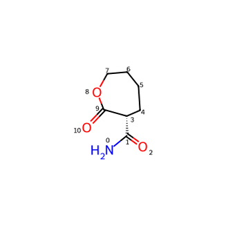 NC(=O)[C@H]1CCCCOC1=O